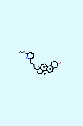 COc1cccc(CC[C@@H](C)[C@H]2CC[C@H]3[C@@H]4CC=C5C[C@@H](O)CC[C@]5(C)[C@H]4CC[C@]23C)n1